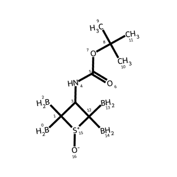 BC1(B)C(NC(=O)OC(C)(C)C)C(B)(B)[S+]1[O-]